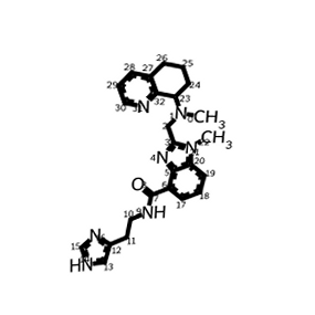 CN(Cc1nc2c(C(=O)NCCc3c[nH]cn3)cccc2n1C)C1CCCc2cccnc21